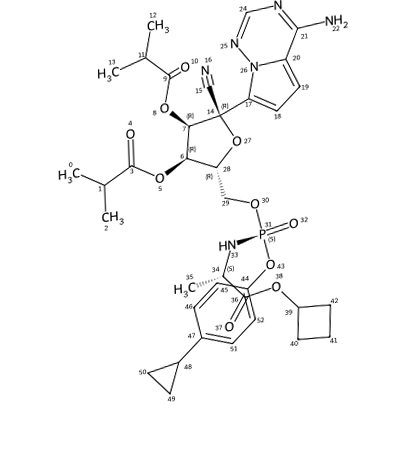 CC(C)C(=O)O[C@H]1[C@@H](OC(=O)C(C)C)[C@](C#N)(c2ccc3c(N)ncnn23)O[C@@H]1CO[P@@](=O)(N[C@@H](C)C(=O)OC1CCC1)Oc1ccc(C2CC2)cc1